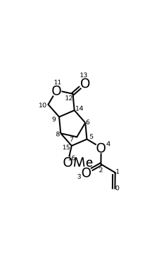 C=CC(=O)OC1C2CC(C3COC(=O)C32)C1OC